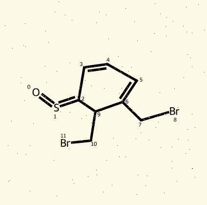 O=S=C1C=CC=C(CBr)C1CBr